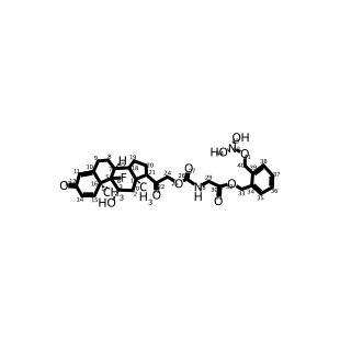 C[C@]12C[C@H](O)C3(F)[C@@H](CCC4=CC(=O)C=C[C@@]43C)C1CCC2C(=O)COC(=O)NCC(=O)OCc1ccccc1CON(O)O